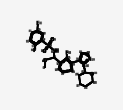 COC(NS(=O)(=O)c1cc(F)ccc1F)c1cccc(-c2ccnn2C2CCCCO2)c1F